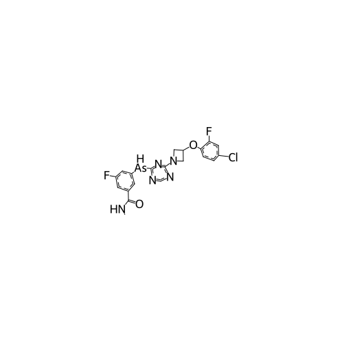 CNC(=O)c1cc(F)cc([AsH]c2ncnc(N3CC(Oc4ccc(Cl)cc4F)C3)n2)c1